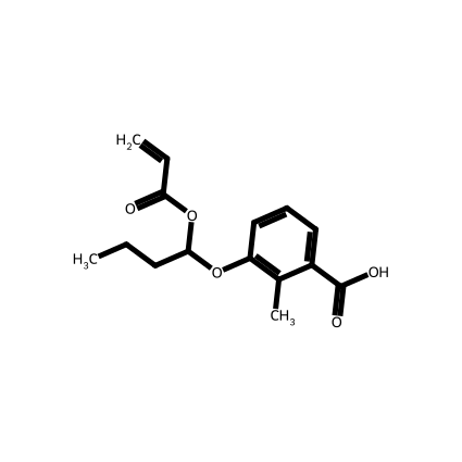 C=CC(=O)OC(CCC)Oc1cccc(C(=O)O)c1C